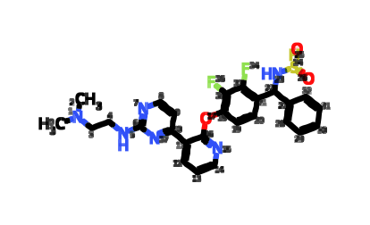 CN(C)CCNc1nccc(-c2cccnc2Oc2ccc(C(N[SH](=O)=O)c3ccccc3)c(F)c2F)n1